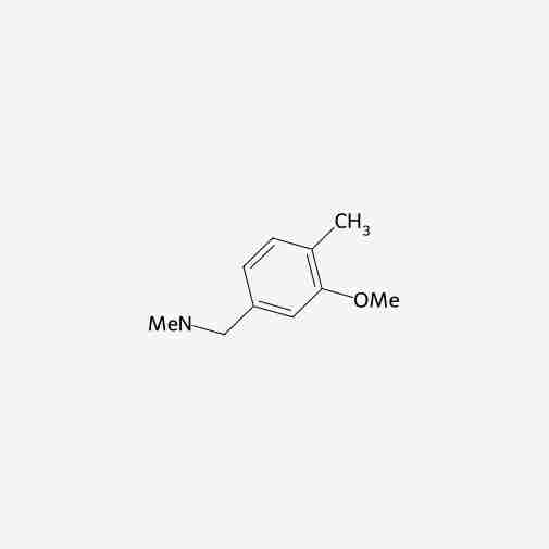 CNCc1ccc(C)c(OC)c1